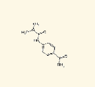 CN(C)C(=O)Nc1ccc(C(N)=O)cc1